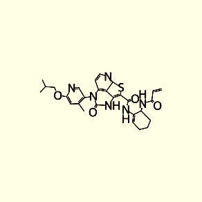 C=CC(=O)N[C@H]1CCCC=C1NC(=O)c1sc2nccc3c2c1NC(=O)N3c1cnc(OCC(C)C)cc1C